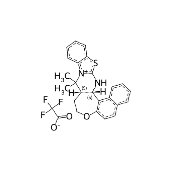 CC1(C)[C@H]2CCOc3ccc4ccccc4c3[C@H]2Nc2sc3ccccc3[n+]21.O=C([O-])C(F)(F)F